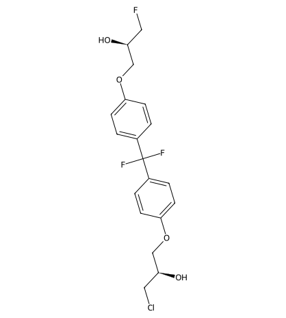 O[C@@H](CF)COc1ccc(C(F)(F)c2ccc(OC[C@@H](O)CCl)cc2)cc1